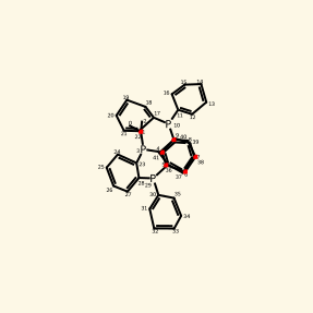 CC(C)P(c1ccccc1P(c1ccccc1)c1ccccc1)c1ccccc1P(c1ccccc1)c1ccccc1